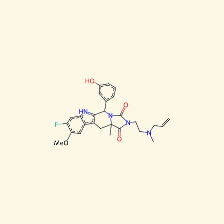 C=CCN(C)CCN1C(=O)N2C(c3cccc(O)c3)c3[nH]c4cc(F)c(OC)cc4c3CC2(C)C1=O